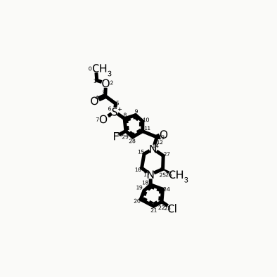 CCOC(=O)C[S+]([O-])c1ccc(C(=O)N2CCN(c3cccc(Cl)c3)[C@H](C)C2)cc1F